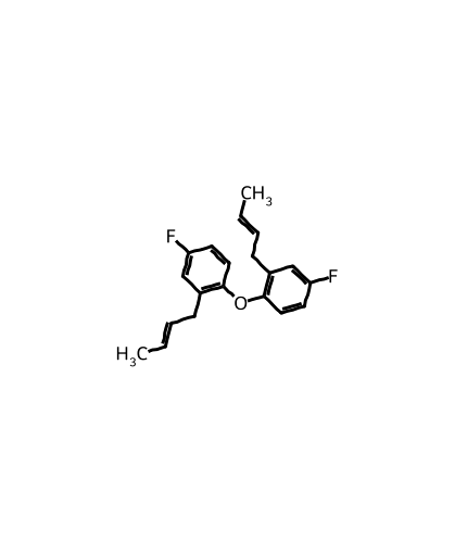 CC=CCc1cc(F)ccc1Oc1ccc(F)cc1CC=CC